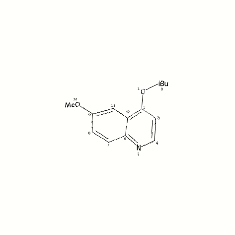 CCC(C)Oc1ccnc2ccc(OC)cc12